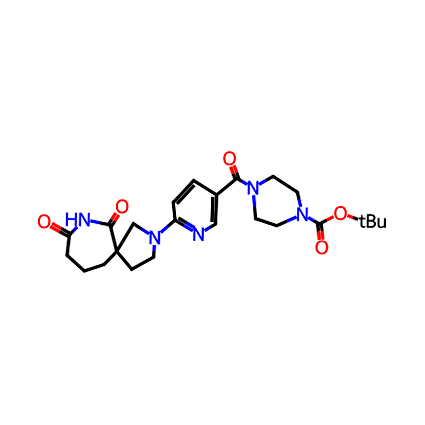 CC(C)(C)OC(=O)N1CCN(C(=O)c2ccc(N3CCC4(CCCC(=O)NC4=O)C3)nc2)CC1